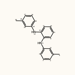 Cc1cccc(Nc2ccccc2Nc2cccc(C)c2)c1